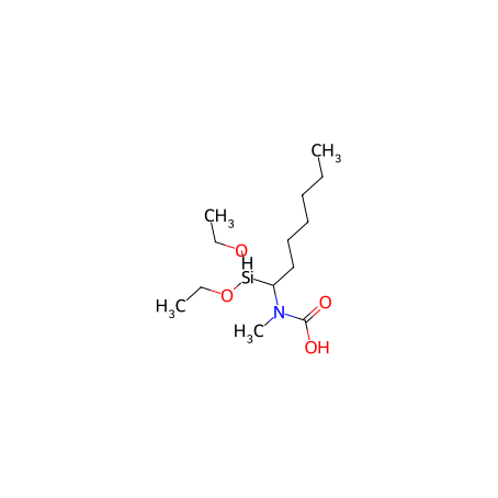 CCCCCCC(N(C)C(=O)O)[SiH](OCC)OCC